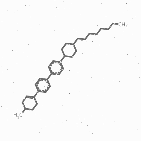 CCCCCCCCC1CCC(c2ccc(-c3ccc(C4=CCC(C)CC4)cc3)cc2)CC1